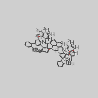 [2H]c1c([2H])c([2H])c(N(c2c(F)cc(-c3ccccc3C(C)(C)C)cc2-c2ccccc2C(C)(C)C)c2ccc3ccc4c(N(c5c(F)cc(-c6ccccc6C(C)(C)C)cc5-c5ccccc5C(C)(C)C)c5c([2H])c([2H])c([2H])c([2H])c5[2H])ccc5ccc2c3c54)c([2H])c1[2H]